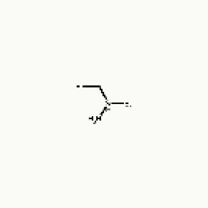 CCC[SiH](N)CC